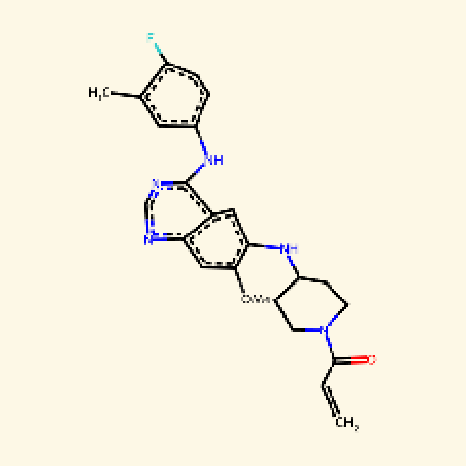 C=CC(=O)N1CCC(Nc2cc3c(Nc4ccc(F)c(C)c4)ncnc3cc2OC)CC1